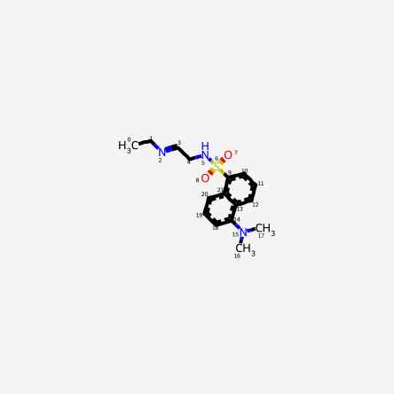 CC/N=C/CNS(=O)(=O)c1cccc2c(N(C)C)cccc12